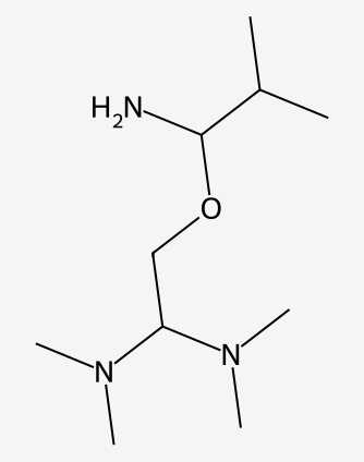 CC(C)C(N)OCC(N(C)C)N(C)C